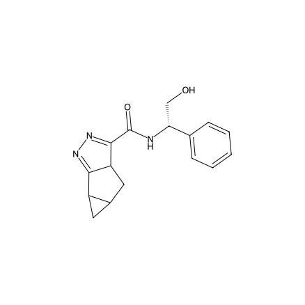 O=C(N[C@H](CO)c1ccccc1)C1=NN=C2C1CC1CC21